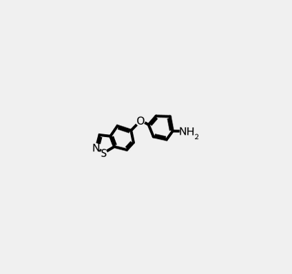 Nc1ccc(Oc2ccc3sncc3c2)cc1